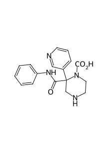 O=C(O)N1CCNCC1(C(=O)Nc1ccccc1)c1cccnc1